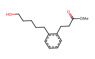 COC(=O)CCc1ccccc1CCCCCO